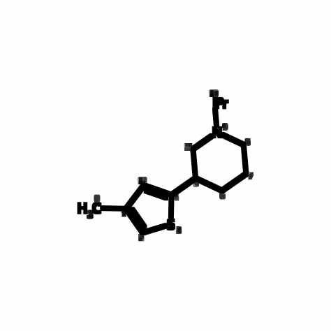 Cc1csc(C2CCCN(C(C)C)C2)c1